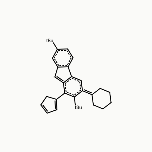 CC(C)(C)c1ccc2c(c1)[C]=c1c-2cc(=C2CCCCC2)c(C(C)(C)C)c1C1=CC=CC1